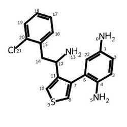 Nc1ccc(N)c(-c2cscc2C(N)Cc2ccccc2Cl)c1